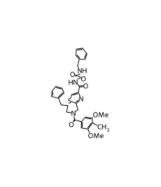 COc1cc(C(=O)N(CCCc2ccccc2)Cc2nc(C(=O)NS(=O)(=O)NCc3ccccc3)cs2)cc(OC)c1C